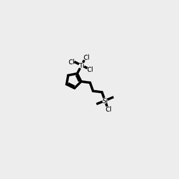 C[Si](C)(Cl)CCCC1=[C]([Ti]([Cl])([Cl])[Cl])CC=C1